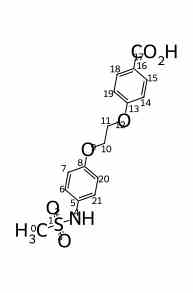 CS(=O)(=O)Nc1ccc(OCCOc2ccc(C(=O)O)cc2)cc1